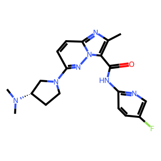 Cc1nc2ccc(N3CC[C@H](N(C)C)C3)nn2c1C(=O)Nc1ccc(F)cn1